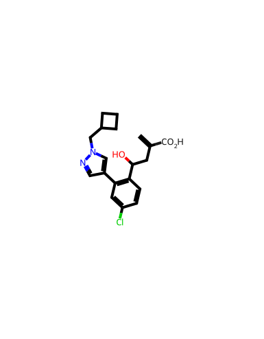 C=C(CC(O)c1ccc(Cl)cc1-c1cnn(CC2CCC2)c1)C(=O)O